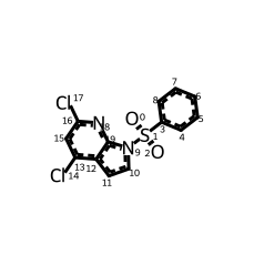 O=S(=O)(c1ccccc1)n1ccc2c(Cl)cc(Cl)nc21